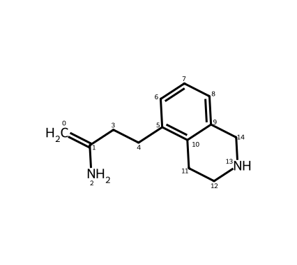 C=C(N)CCc1cccc2c1CCNC2